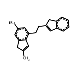 CC1=Cc2c(CCC3=Cc4ccccc4C3)cc(C(C)(C)C)cc2C1